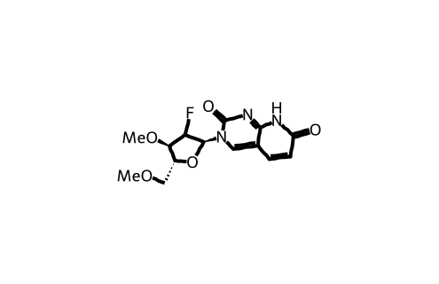 COC[C@H]1O[C@H](n2cc3ccc(=O)[nH]c3nc2=O)C(F)[C@@H]1OC